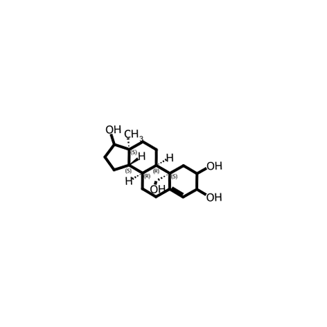 C[C@]12CC[C@@H]3[C@@H](CCC4=CC(O)C(O)C[C@@]43CO)[C@@H]1CCC2O